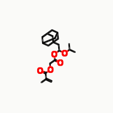 C=C(C)C(=O)OCC(=O)OC(CC12CC3CC(CC(C3)C1)C2)OC(C)C